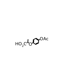 CC(=O)Oc1ccc(O[C@H](C)C(=O)O)cc1